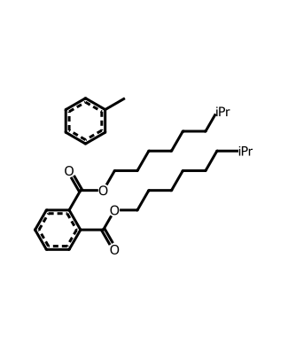 CC(C)CCCCCCOC(=O)c1ccccc1C(=O)OCCCCCCC(C)C.Cc1ccccc1